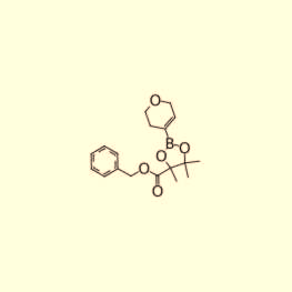 CC1(C)OB(C2=CCOCC2)OC1(C)C(=O)OCc1ccccc1